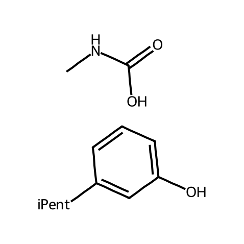 CCCC(C)c1cccc(O)c1.CNC(=O)O